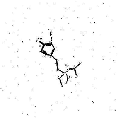 CO[Si](CCc1ccc(F)c(F)c1)(OC)OC(C)C